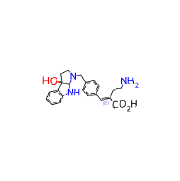 NCC/C(=C\c1ccc(CN2CCC3(O)c4ccccc4NC23)cc1)C(=O)O